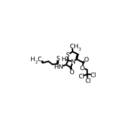 C=CCCC(=S)NC1C(=O)N2C(C(=O)OCC(Cl)(Cl)Cl)=CC(C)S[C@@H]12